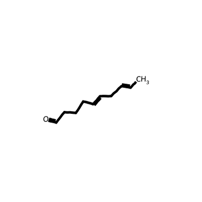 CC=CCC=CCCCC=O